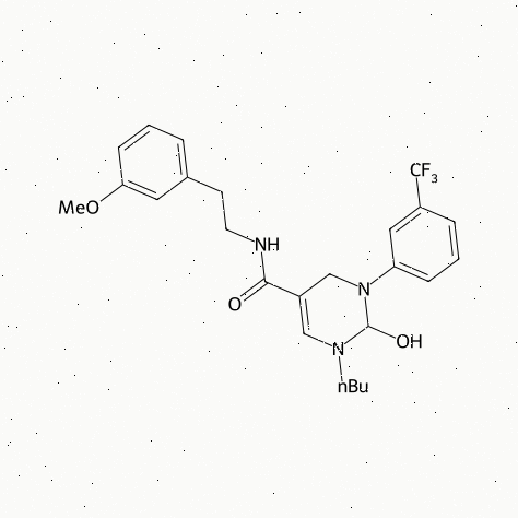 CCCCN1C=C(C(=O)NCCc2cccc(OC)c2)CN(c2cccc(C(F)(F)F)c2)C1O